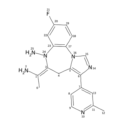 C/C(N)=C1\Cc2c(-c3ccnc(C)c3)ncn2-c2ccc(F)cc2N1N